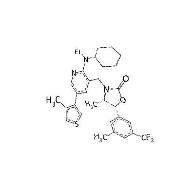 CCN(c1ncc(-c2cscc2C)cc1CN1C(=O)O[C@H](c2cc(C)cc(C(F)(F)F)c2)[C@@H]1C)C1CCCCC1